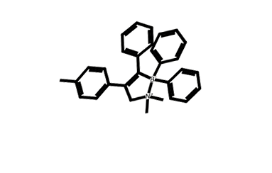 Cc1ccc(C2=C(c3ccccc3)[B-](c3ccccc3)(c3ccccc3)[N+](C)(C)C2)cc1